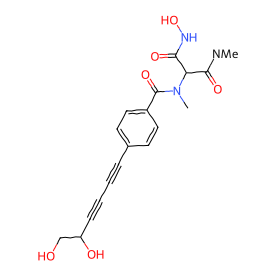 CNC(=O)C(C(=O)NO)N(C)C(=O)c1ccc(C#CC#CC(O)CO)cc1